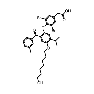 Cc1cccc(C(=O)c2cc(OCCCCCCCO)c(C(C)C)cc2Oc2c(Br)cc(CC(=O)O)cc2Br)c1